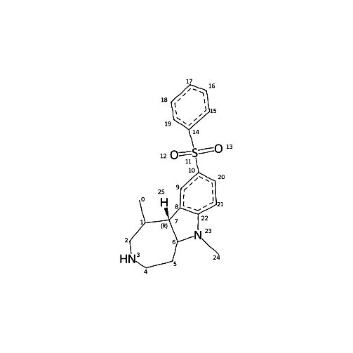 CC1CNCCC2[C@H]1c1cc(S(=O)(=O)c3ccccc3)ccc1N2C